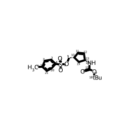 Cc1ccc(S(=O)(=O)OC[C@@H]2C=C[C@H](NC(=O)OC(C)(C)C)C2)cc1